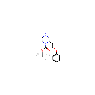 CC(C)(C)OC(=O)N1CCNCC1CCOc1ccccc1